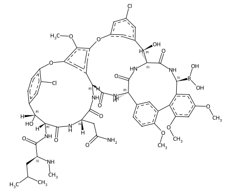 CN[C@@H](CC(C)C)C(=O)N[C@H]1C(=O)N[C@@H](CC(N)=O)C(=O)N[C@H]2C(=O)N[C@H]3C(=O)N[C@H](C(=O)N[C@@H](B(O)O)c4cc(OC)cc(OC)c4-c4cc3ccc4OC)[C@H](O)c3cc(Cl)cc(c3)Oc3cc2cc(c3OC)Oc2ccc(cc2Cl)[C@H]1O